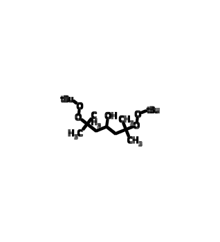 CC(C)(C)OOC(C)(C)CC(O)CC(C)(C)OOC(C)(C)C